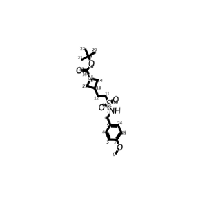 COc1ccc(CNS(=O)(=O)CCC2CN(C(=O)OC(C)(C)C)C2)cc1